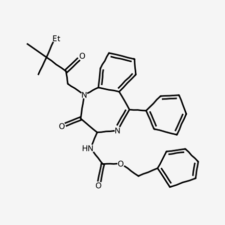 CCC(C)(C)C(=O)CN1C(=O)C(NC(=O)OCc2ccccc2)N=C(c2ccccc2)c2ccccc21